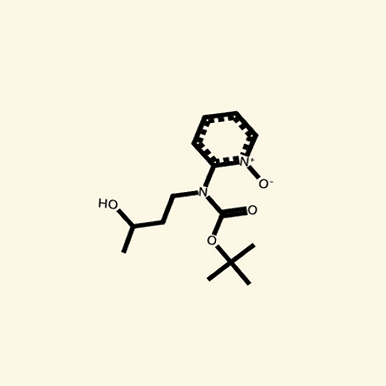 CC(O)CCN(C(=O)OC(C)(C)C)c1cccc[n+]1[O-]